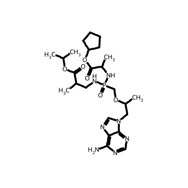 CC(C)OC(=O)C(C)CNP(=O)(COC(C)Cn1cnc2c(N)ncnc21)NC(C)C(=O)OC1CCCC1